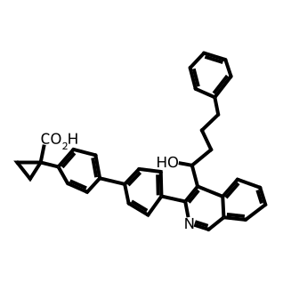 O=C(O)C1(c2ccc(-c3ccc(-c4ncc5ccccc5c4C(O)CCCc4ccccc4)cc3)cc2)CC1